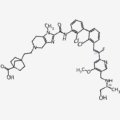 COc1cc(/C(F)=C/c2cccc(-c3cccc(NC(=O)c4nc5c(n4C)CCN(CCC46CCC(C(=O)O)(CC4)C6)C5)c3Cl)c2Cl)ncc1CN[C@@H](C)CO